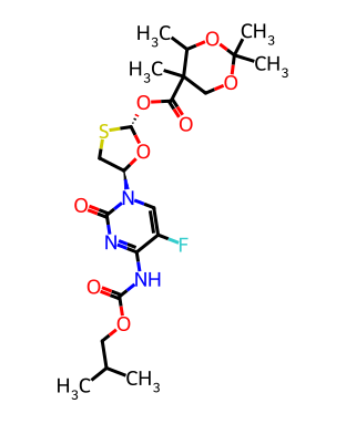 CC(C)COC(=O)Nc1nc(=O)n([C@H]2CS[C@H](OC(=O)C3(C)COC(C)(C)OC3C)O2)cc1F